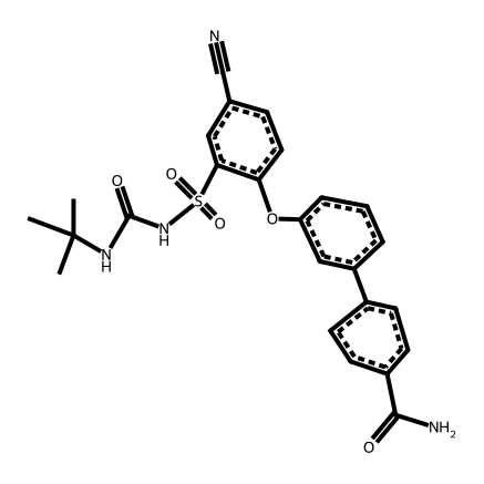 CC(C)(C)NC(=O)NS(=O)(=O)c1cc(C#N)ccc1Oc1cccc(-c2ccc(C(N)=O)cc2)c1